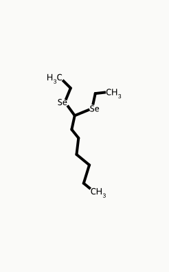 CCCCCCC([Se]CC)[Se]CC